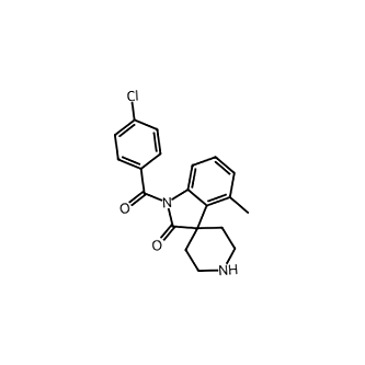 Cc1cccc2c1C1(CCNCC1)C(=O)N2C(=O)c1ccc(Cl)cc1